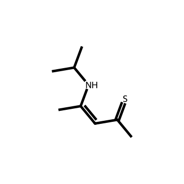 CC(=S)/C=C(/C)NC(C)C